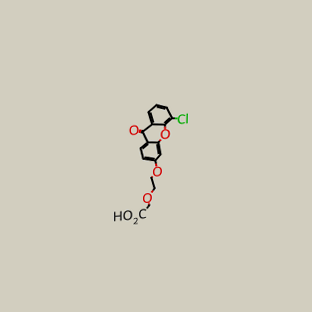 O=C(O)COCCOc1ccc2c(=O)c3cccc(Cl)c3oc2c1